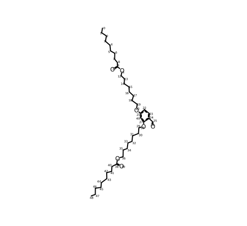 CCCCCCCCCC(=O)OCCCCCCCCOc1ccc(C=O)c(OCCCCCCCCOC(=O)CCCCCCCCC)c1